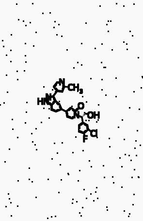 Cc1cc(-c2n[nH]c3ccc(-c4ccn([C@H](CO)c5ccc(F)c(Cl)c5)c(=O)c4)cc23)ccn1